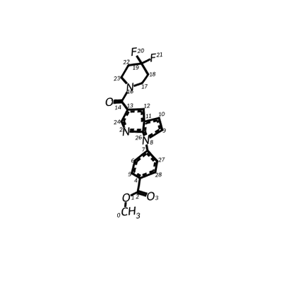 COC(=O)c1ccc(-n2ccc3cc(C(=O)N4CCC(F)(F)CC4)cnc32)cc1